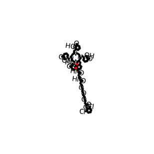 O=C(CCOCCOCCOCCC(=O)Oc1c(Cl)cccc1Cl)NCCC(=O)Nc1ccc(CC2CN(Cc3cccc(=O)n3O)CCN(Cc3cccc(=O)n3O)CCN(Cc3cccc(=O)n3O)CCN2Cc2cccc(=O)n2O)cc1